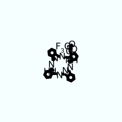 O=S(=O)(Oc1cccc2c3nc4nc(nc5[nH]c(nc6nc(nc([nH]3)c12)-c1ccccc1-6)c1ccccc51)-c1ccccc1-4)C(F)(F)F